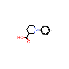 O=C(O)C1CCCN(c2cc[c]cc2)C1